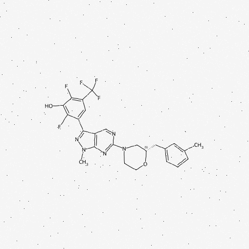 Cc1cccc(C[C@H]2CN(c3ncc4c(-c5cc(C(F)(F)F)c(F)c(O)c5F)nn(C)c4n3)CCO2)c1